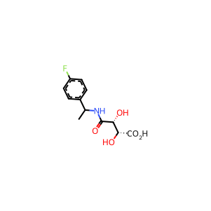 CC(NC(=O)[C@H](O)[C@@H](O)C(=O)O)c1ccc(F)cc1